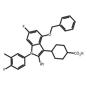 Cc1cc(-n2c(C(C)C)c(C3CCC(C(=O)O)CC3)c3c(OCc4ccccc4)cc(F)cc32)ccc1F